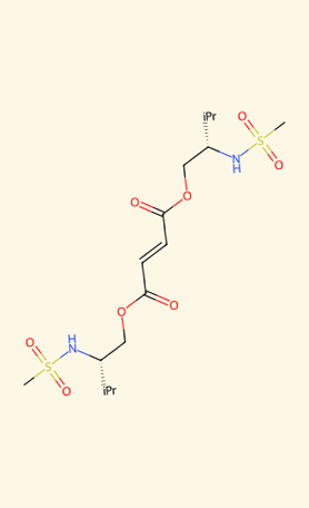 CC(C)[C@@H](COC(=O)/C=C/C(=O)OC[C@@H](NS(C)(=O)=O)C(C)C)NS(C)(=O)=O